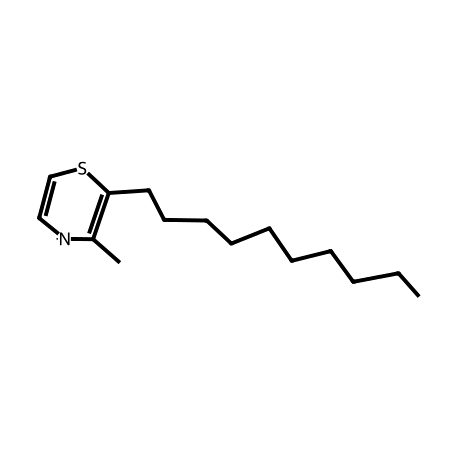 CCCCCCCCCCC1=C(C)[N]C=CS1